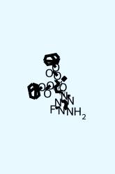 C#C[C@]1(COC(=O)OC23CC4CC(CC(C4)C2)C3)O[C@@H](n2cnc3c(N)nc(F)nc32)C[C@@H]1OC(=O)OC12CC3CC(CC(C3)C1)C2